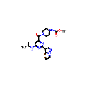 CCCOC(=O)NC1CCN(C(=O)c2cc(N[C@@H](C)C(C)(C)C)nc(-c3cnn4ccsc34)n2)CC1